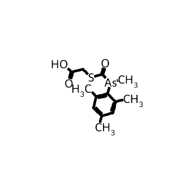 Cc1cc(C)c([As](C)C(=O)SCC(=O)O)c(C)c1